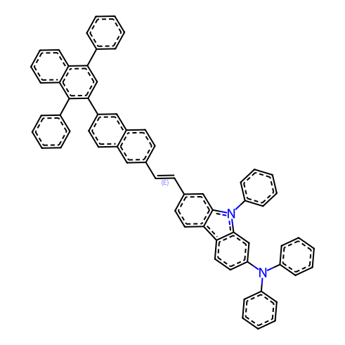 C(=C\c1ccc2c3ccc(N(c4ccccc4)c4ccccc4)cc3n(-c3ccccc3)c2c1)/c1ccc2cc(-c3cc(-c4ccccc4)c4ccccc4c3-c3ccccc3)ccc2c1